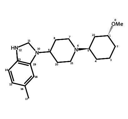 CO[C@@H]1CCC[C@@H](N2CCC(N3CNc4ccc(C)cc43)CC2)C1